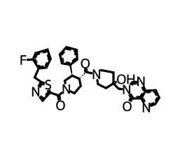 O=C(c1cnc(Cc2ccccc2F)s1)N1CC[C@@H](C(=O)N2CCC(O)(Cn3cnc4cccnc4c3=O)CC2)[C@H](c2ccccc2)C1